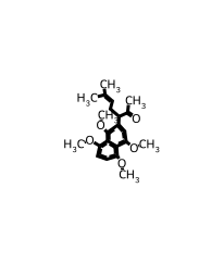 COc1ccc(OC)c2c(OC)c(C(CC=C(C)C)C(C)=O)cc(OC)c12